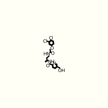 C=C(CCNC(=O)COc1ccc(Cl)c(Cl)c1)NC(=O)c1ccc(CO)cn1